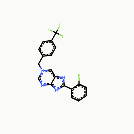 Fc1ccccc1-c1nc2cn(Cc3ccc(C(F)(F)F)cc3)cnc-2n1